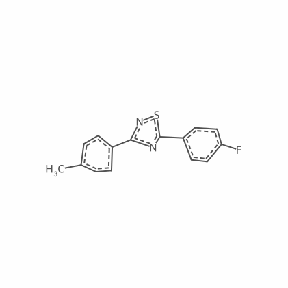 Cc1ccc(-c2nsc(-c3ccc(F)cc3)n2)cc1